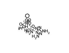 CC(C)OC(=O)[C@@H](C)NP(=O)(OC[C@H]1O[C@@H](n2cnc3c(N)nc(N)nc32)[C@](C)(N)[C@@H]1O)Oc1ccccc1